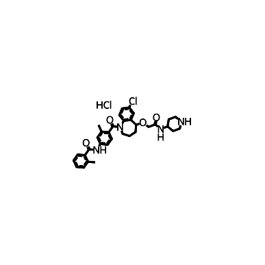 Cc1ccccc1C(=O)Nc1ccc(C(=O)N2CCCC(OCC(=O)NC3CCNCC3)c3cc(Cl)ccc32)c(C)c1.Cl